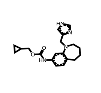 O=C(Nc1ccc2c(c1)N(Cc1c[nH]cn1)CCCC2)OCC1CC1